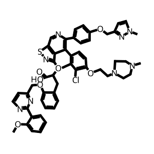 COc1ccccc1-c1nccc(COc2ccccc2CC(Oc2nsc3cnc(-c4ccc(OCc5ccn(C)n5)cc4)c(-c4ccc(OCCN5CCN(C)CC5)c(Cl)c4C)c23)C(=O)O)n1